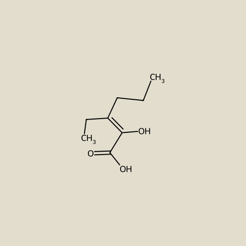 CCCC(CC)=C(O)C(=O)O